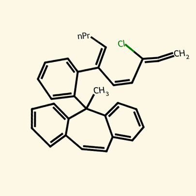 C=C=C(Cl)/C=C\C(=C\CCC)c1ccccc1C1(C)c2ccccc2C=Cc2ccccc21